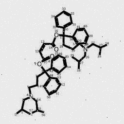 CC(C)CN(CCCC(OC(=O)/C=C\C(=O)OC(CCCN(CC(C)C)CC(C)C)(c1ccccc1)c1ccccc1)(c1ccccc1)c1ccccc1)CC(C)C